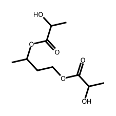 CC(CCOC(=O)C(C)O)OC(=O)C(C)O